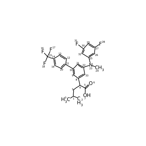 CC(C)CC(C(=O)O)c1cc(-c2ccc(C(F)(F)F)cc2)cc(N(C)c2cc(F)cc(F)c2)c1